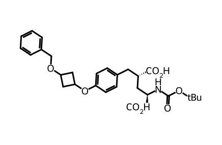 CC(C)(C)OC(=O)N[C@H](C[C@H](Cc1ccc(OC2CC(OCc3ccccc3)C2)cc1)C(=O)O)C(=O)O